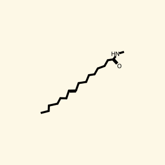 CCCCCC/C=C/CCCCCCCC(=O)NC